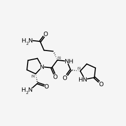 NC(=O)CC[C@H](NC(=O)[C@@H]1CCC(=O)N1)C(=O)N1CCC[C@H]1C(N)=O